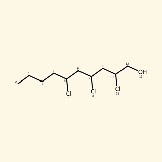 CCCCC(Cl)CC(Cl)CC(Cl)CO